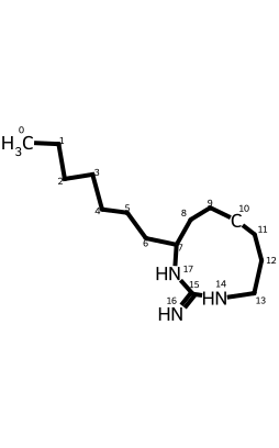 CCCCCCCC1CCCCCCNC(=N)N1